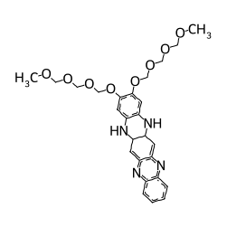 COCOCOCOc1cc2c(cc1OCOCOCOC)NC1C=c3nc4ccccc4nc3=CC1N2